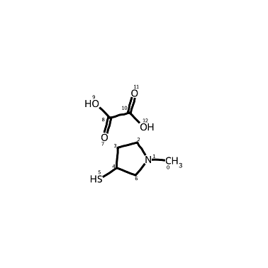 CN1CCC(S)C1.O=C(O)C(=O)O